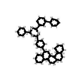 c1ccc(-c2cccc(-c3nc(-c4ccccc4)nc(-c4ccc(-c5cc6c(ccc7ccc8ccccc8c76)c6ccccc56)cc4)n3)c2)cc1